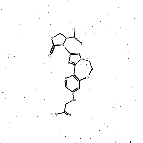 NC(=O)CNc1cnc2c(c1)OCCn1cc(N3C(=O)OCC3C(F)F)nc1-2